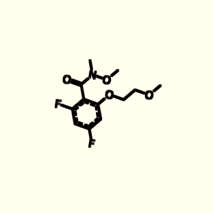 COCCOc1cc(F)cc(F)c1C(=O)N(C)OC